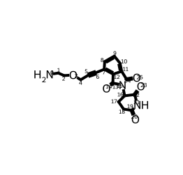 NCCOCC#Cc1cccc2c1C(=O)N(C1CCC(=O)NC1=O)C2=O